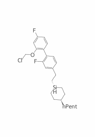 CCCCC[C@H]1CC[Si@H](CCc2ccc(-c3ccc(F)cc3OCCl)c(F)c2)CC1